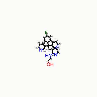 OCCNc1ncccc1CC(c1ccc(F)cc1)(c1cccnc1)c1cccnc1